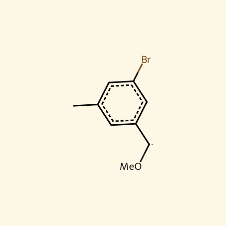 CO[CH]c1cc(C)cc(Br)c1